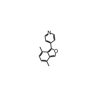 Cc1ccc(C)c2c(-c3ccncc3)occ12